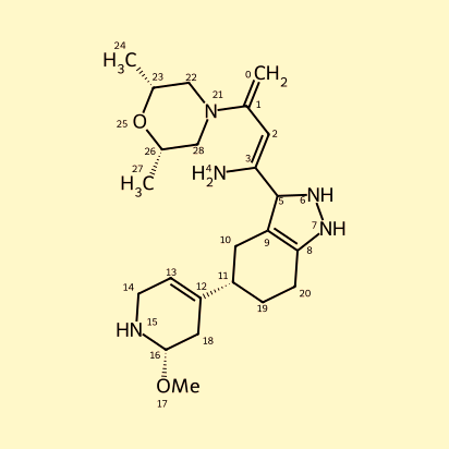 C=C(/C=C(\N)C1NNC2=C1C[C@@H](C1=CCN[C@@H](OC)C1)CC2)N1C[C@@H](C)O[C@@H](C)C1